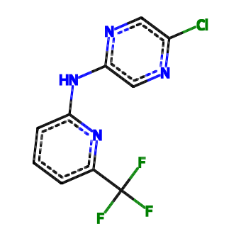 FC(F)(F)c1cccc(Nc2cnc(Cl)cn2)n1